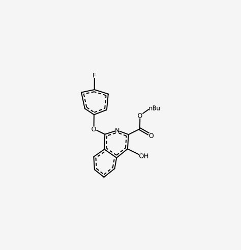 CCCCOC(=O)c1nc(Oc2ccc(F)cc2)c2ccccc2c1O